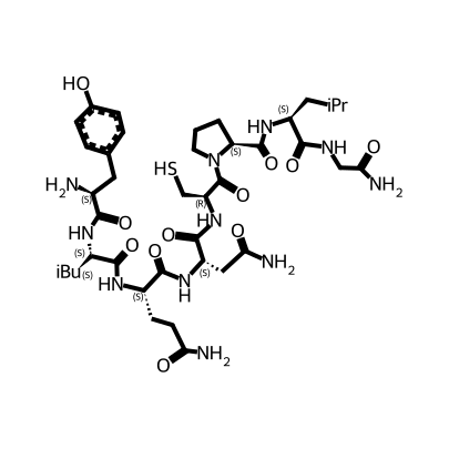 CC[C@H](C)[C@H](NC(=O)[C@@H](N)Cc1ccc(O)cc1)C(=O)N[C@@H](CCC(N)=O)C(=O)N[C@@H](CC(N)=O)C(=O)N[C@@H](CS)C(=O)N1CCC[C@H]1C(=O)N[C@@H](CC(C)C)C(=O)NCC(N)=O